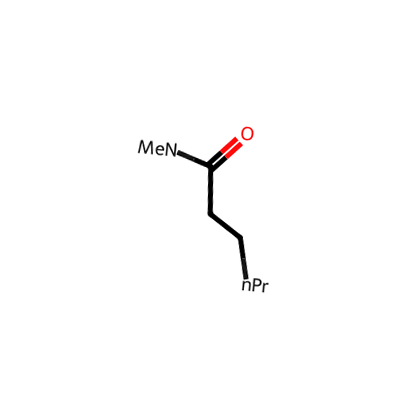 [CH2-][NH2+]C(=O)CCCCC